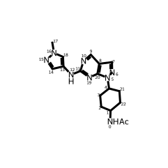 CC(=O)NC1CCC(n2ncc3cnc(Nc4cnn(C)c4)nc32)CC1